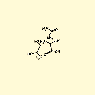 CC(O)C(=O)O.CC(O)CO.NC(N)=O